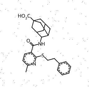 Cc1ccc(C(=O)NC2C3CC4CC2CC(C(=O)O)(C4)C3)c(SCCc2ccccc2)n1